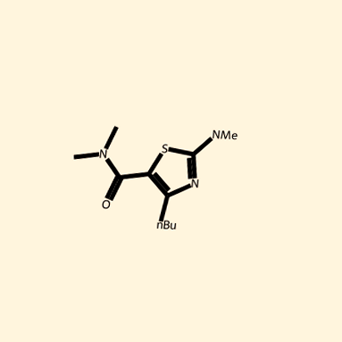 CCCCc1nc(NC)sc1C(=O)N(C)C